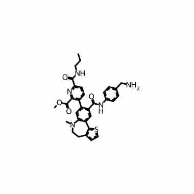 CCCNC(=O)c1ccc(-c2cc3c(cc2C(=O)Nc2ccc(CN)cc2)-c2sccc2CCN3C)c(C(=O)OC)n1